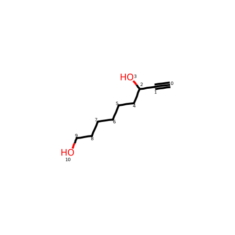 C#CC(O)CCCCCCO